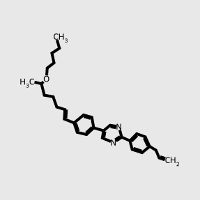 C=CCc1ccc(-c2ncc(-c3ccc(/C=C/CCCC(C)OCCCCC)cc3)cn2)cc1